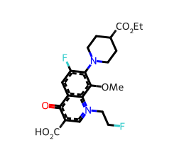 CCOC(=O)C1CCN(c2c(F)cc3c(=O)c(C(=O)O)cn(CCF)c3c2OC)CC1